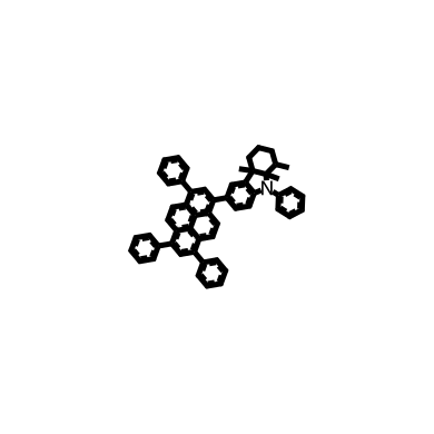 CC1CCCC2(C)c3cc(-c4cc(-c5ccccc5)c5ccc6c(-c7ccccc7)cc(-c7ccccc7)c7ccc4c5c67)ccc3N(c3ccccc3)C12C